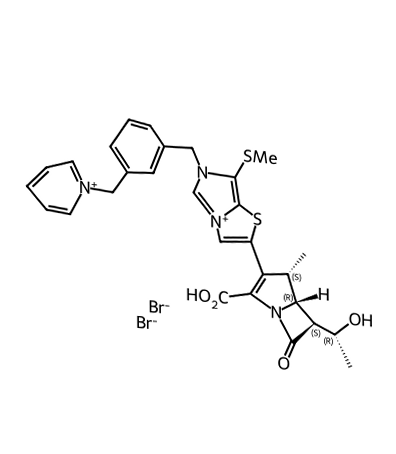 CSc1c2sc(C3=C(C(=O)O)N4C(=O)[C@H]([C@@H](C)O)[C@H]4[C@H]3C)c[n+]2cn1Cc1cccc(C[n+]2ccccc2)c1.[Br-].[Br-]